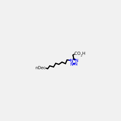 CCCCCCCCCCCCCCCCCCn1nnnc1CC(=O)O